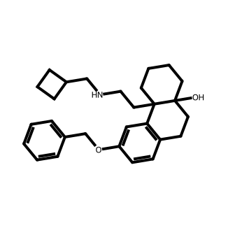 OC12CCCCC1(CCNCC1CCC1)c1cc(OCc3ccccc3)ccc1CC2